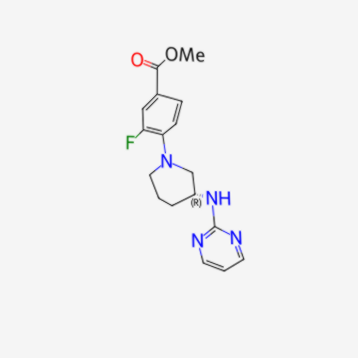 COC(=O)c1ccc(N2CCC[C@@H](Nc3ncccn3)C2)c(F)c1